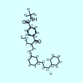 CSCC(CSC1CCCC(CC[C@@H](C)C2CCCCC2)C1)C(=O)c1ccc(C(=O)NC(C)(C)C)cc1